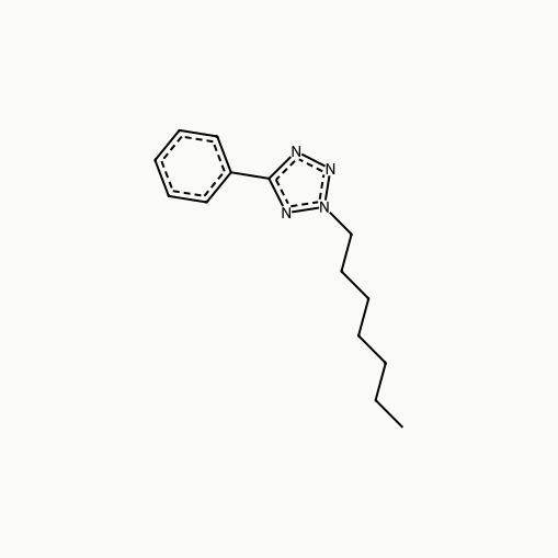 CCCCCCCn1nnc(-c2ccccc2)n1